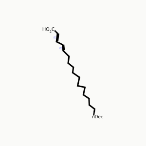 CCCCCCCCCCCCCCCCCCCCC/C=C/C=C/C(=O)O